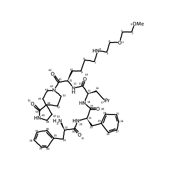 COCCOCCNCCCC[C@@H](NC(=O)[C@@H](CC(C)C)NC(=O)[C@@H](Cc1ccccc1)NC(=O)[C@H](N)Cc1ccccc1)C(=O)N1CCC2(CCNC2=O)CC1